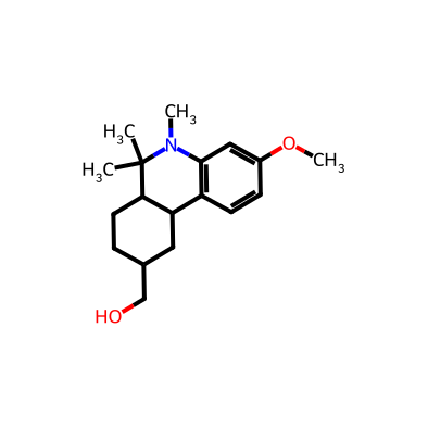 COc1ccc2c(c1)N(C)C(C)(C)C1CCC(CO)CC21